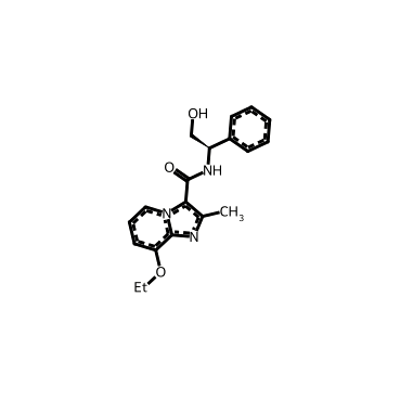 CCOc1cccn2c(C(=O)N[C@@H](CO)c3ccccc3)c(C)nc12